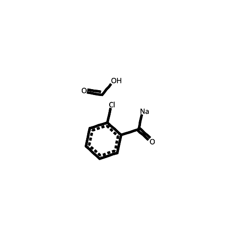 O=CO.O=[C]([Na])c1ccccc1Cl